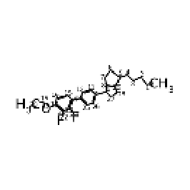 CCCCCC1CCC2C(c3ccc(-c4ccc(OCC)c(F)c4F)cc3)CCC12